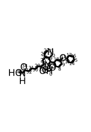 CS(=O)(=O)N1C(c2cccc(Oc3ccccc3)c2)c2cnccc2CC1C(O)/C=C/C=C/C(=O)NO